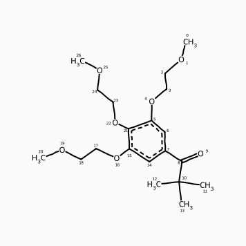 COCCOc1cc(C(=O)C(C)(C)C)cc(OCCOC)c1OCCOC